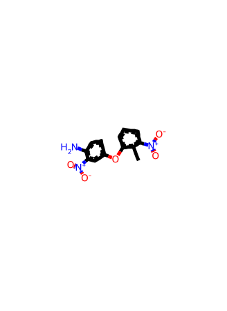 Cc1c(Oc2ccc(N)c([N+](=O)[O-])c2)cccc1[N+](=O)[O-]